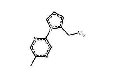 Cc1cnc(-n2cccc2CN)cn1